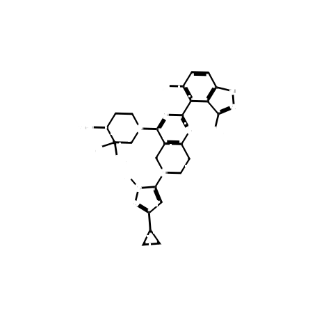 COC1CCN(c2nc(-c3c(C)ccc4[nH]nc(C)c34)nc3c2CN(c2cc(C4CC4)nn2C)CC3)CC1(C)C